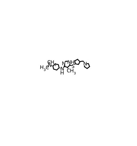 C[C@H]1C(N[C@H]2CC[C@H](N(C)C)CC2)=NCNC1S[C@H]1CCC(CN2CCCC2)C1